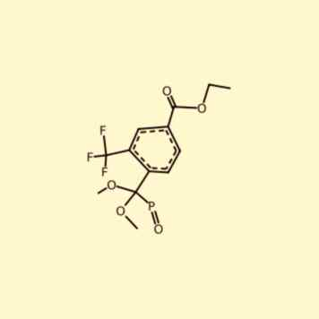 CCOC(=O)c1ccc(C(OC)(OC)P=O)c(C(F)(F)F)c1